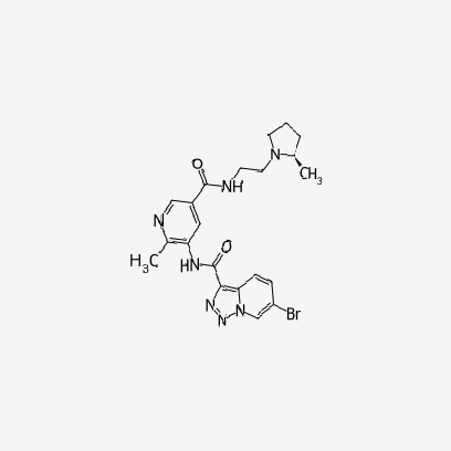 Cc1ncc(C(=O)NCCN2CCC[C@H]2C)cc1NC(=O)c1nnn2cc(Br)ccc12